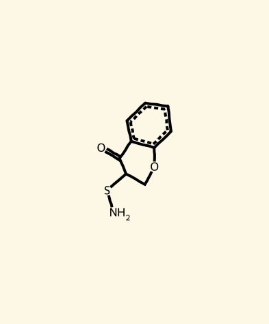 NSC1COc2ccccc2C1=O